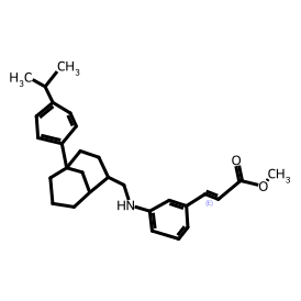 COC(=O)/C=C/c1cccc(NCC2CCC3(c4ccc(C(C)C)cc4)CCCC2C3)c1